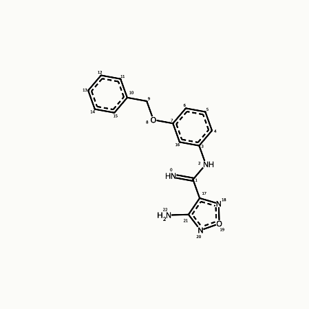 N=C(Nc1cccc(OCc2ccccc2)c1)c1nonc1N